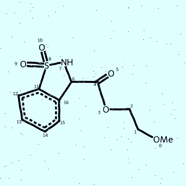 COCCOC(=O)C1NS(=O)(=O)c2ccccc21